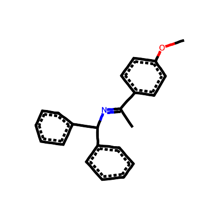 COc1ccc(/C(C)=N/C(c2ccccc2)c2ccccc2)cc1